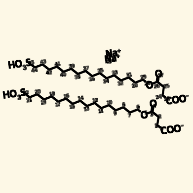 O=C([O-])CCC(=O)OCCCCCCCCCCCCCCCCS(=O)(=O)O.O=C([O-])CCC(=O)OCCCCCCCCCCCCCCCCS(=O)(=O)O.[Na+].[Na+]